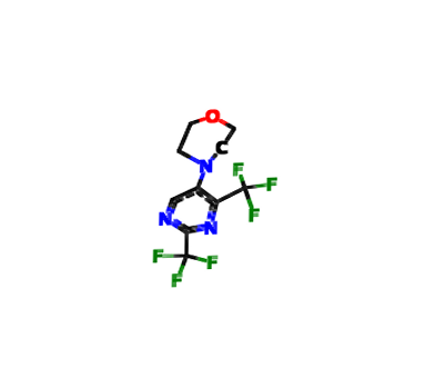 FC(F)(F)c1ncc(N2CCOCC2)c(C(F)(F)F)n1